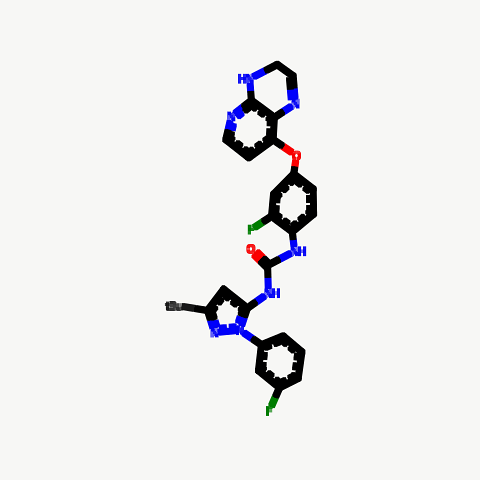 CC(C)(C)c1cc(NC(=O)Nc2ccc(Oc3ccnc4c3N=CCN4)cc2F)n(-c2cccc(F)c2)n1